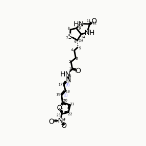 O=C(CCCC[C@@H]1SCC2NC(=O)NC21)N/N=C/C=C/c1ccc([N+](=O)[O-])o1